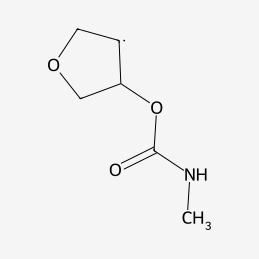 CNC(=O)OC1[CH]COC1